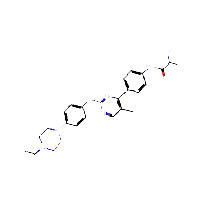 CCN1CCN(c2ccc(Nc3ncc(C)c(-c4ccc(NC(=O)C(C)N)cc4)n3)cc2)CC1